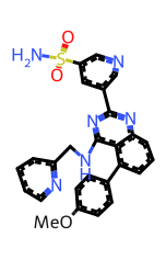 COc1ccc(-c2cccc3nc(-c4cncc(S(N)(=O)=O)c4)nc(NCc4ccccn4)c23)cc1